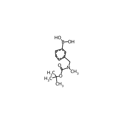 CN(Cc1cccc(B(O)O)c1)C(=O)OC(C)(C)C